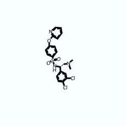 CN(C)C[C@@H](NS(=O)(=O)c1ccc(Oc2ccccn2)cc1)c1ccc(Cl)c(Cl)c1